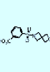 O=C(O)c1cccc(S(=O)(=O)N2CC3(COC3)C2)c1